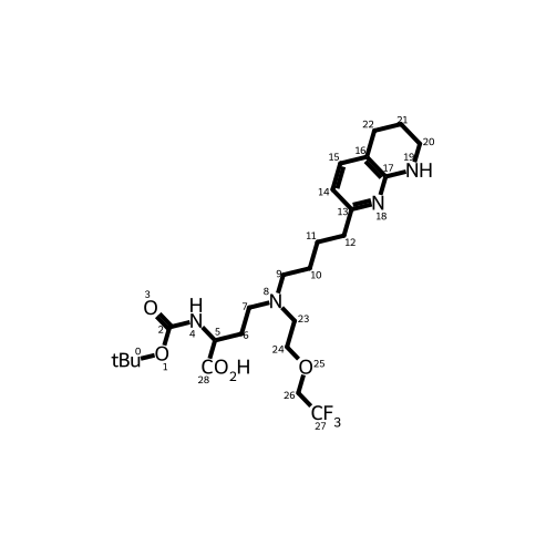 CC(C)(C)OC(=O)NC(CCN(CCCCc1ccc2c(n1)NCCC2)CCOCC(F)(F)F)C(=O)O